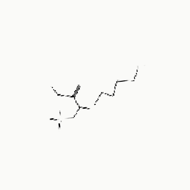 CCCCCCCCCCCCCCOC(C[N+](C)(CC)CC)C(=O)CCCCCCCCCCC.[Cl-]